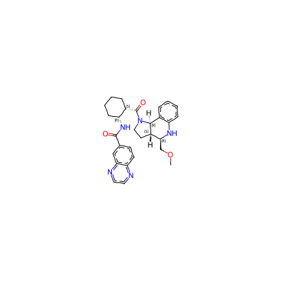 COC[C@@H]1Nc2ccccc2[C@H]2[C@H]1CCN2C(=O)[C@H]1CCCC[C@H]1NC(=O)c1ccc2nccnc2c1